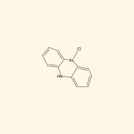 Cl[As]1c2ccccc2Nc2ccccc21